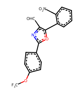 O=Cc1nc(-c2ccc(OC(F)(F)F)cc2)oc1-c1ccccc1[N+](=O)[O-]